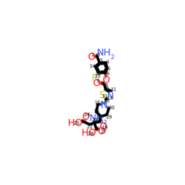 NC(=O)c1ccc(OC(=O)c2cnc(N3CCC(C(=O)[C@](N)(CC(=O)O)C(=O)O)CC3)s2)c(F)c1